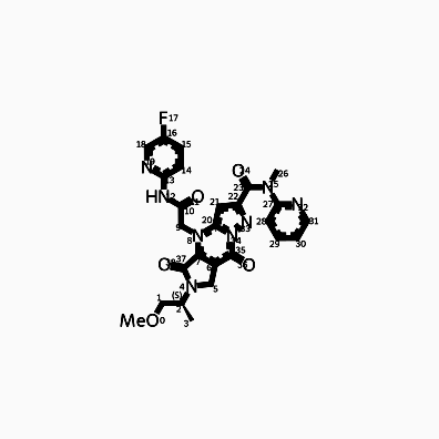 COC[C@H](C)N1Cc2c(n(CC(=O)Nc3ccc(F)cn3)c3cc(C(=O)N(C)c4ccccn4)nn3c2=O)C1=O